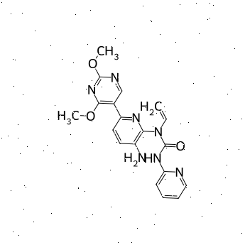 C=CN(C(=O)Nc1ccccn1)c1nc(-c2cnc(OC)nc2OC)ccc1N